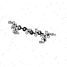 CC(C)(C)OC(=O)/N=C(\NCc1ccc(NC(=O)C23CCC(C(=O)Nc4ccc(C5=CCN(/C(=N/C(=O)OC(C)(C)C)NC(=O)OC(C)(C)C)CC5)cc4)(CC2)CC3)nc1)NC(=O)OC(C)(C)C